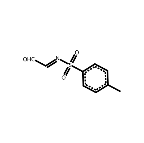 Cc1ccc(S(=O)(=O)N=CC=O)cc1